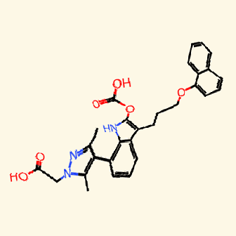 Cc1nn(CC(=O)O)c(C)c1-c1cccc2c(CCCOc3cccc4ccccc34)c(OC(=O)O)[nH]c12